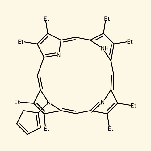 CCC1=C(CC)c2cc3c(CC)c(CC)c(cc4nc(cc5[nH]c(cc1n2)c(CC)c5CC)C(CC)=C4CC)n3C1=CC=CC1